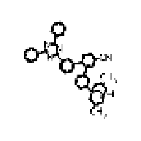 C[C@@H]1C[C@@H]2C[C@H](C)CC(c3cccc(-c4cc(C#N)ccc4-c4cccc(-c5nc(-c6ccccc6)nc(-c6ccccc6)n5)c4)c3)(C1)C2